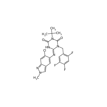 Cn1cc2cc(/N=c3\[nH]c(=O)n(C(C)(C)C)c(=O)n3Cc3cc(F)c(F)cc3F)c(Cl)cc2n1